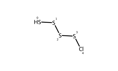 SSSSCl